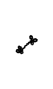 O=P(CCCCCCCCCCP(=O)(c1ccccc1)c1ccccc1)(c1ccccc1)c1ccccc1